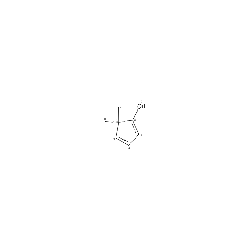 CC1(C)C=CC=C1O